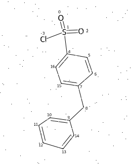 O=S(=O)(Cl)c1ccc(Cc2ccccc2)cc1